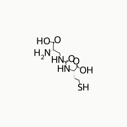 N[C@@H](CNC(=O)N[C@@H](CCS)C(=O)O)C(=O)O